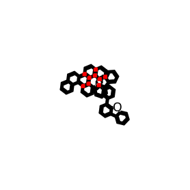 c1cc(-c2cccc3c2oc2ccccc23)cc(N(c2ccccc2-c2ccc3c(ccc4ccccc43)c2)c2ccccc2-c2ccccc2-n2c3ccccc3c3ccccc32)c1